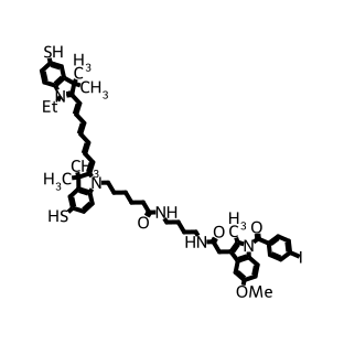 CC[N+]1=C(/C=C/C=C/C=C/C=C2/N(CCCCCC(=O)NCCCCNC(=O)Cc3c(C)n(C(=O)c4ccc(I)cc4)c4ccc(OC)cc34)c3ccc(S)cc3C2(C)C)C(C)(C)c2cc(S)ccc21